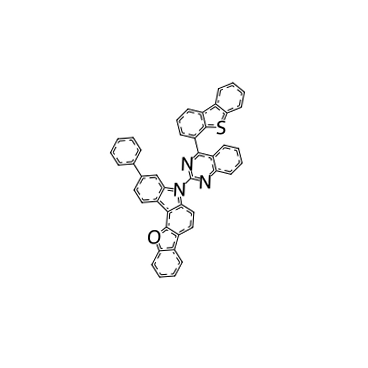 c1ccc(-c2ccc3c4c5oc6ccccc6c5ccc4n(-c4nc(-c5cccc6c5sc5ccccc56)c5ccccc5n4)c3c2)cc1